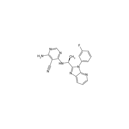 C[C@H](Nc1ncnc(N)c1C#N)c1nc2cccnc2n1-c1cccc(F)c1